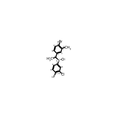 Cc1cc(C(C)[S+]([O-])c2ccc(F)c(Cl)c2)ccc1Br